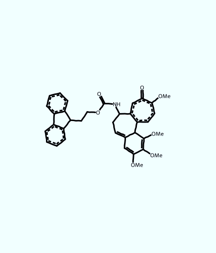 COC1=CC2=CCC(NC(=O)OCCC3c4ccccc4-c4ccccc43)c3cc(=O)c(OC)ccc3C2C(OC)=C1OC